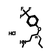 CCC[C@H](CCNC)Oc1ccc(C(F)(F)F)cc1.Cl